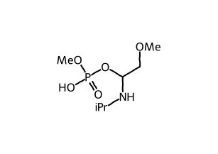 COCC(NC(C)C)OP(=O)(O)OC